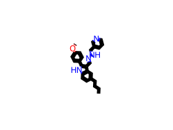 CCCCc1ccc2[nH]c(-c3ccc(OC)cc3)c(C=NNCc3cccnc3)c2c1